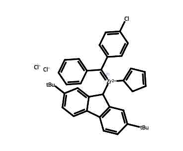 CC(C)(C)c1ccc2c(c1)[CH](/[Zr+2]([C]1=CC=CC1)=[C](\c1ccccc1)c1ccc(Cl)cc1)c1cc(C(C)(C)C)ccc1-2.[Cl-].[Cl-]